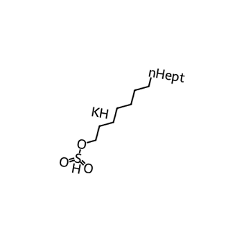 CCCCCCCCCCCCCCO[SH](=O)=O.[KH]